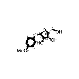 COc1ccc(O[C@H]2O[C@H](CO)[C@@H](O)[C@H]2O)cc1